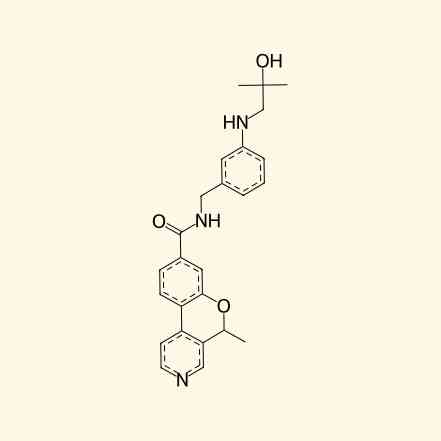 CC1Oc2cc(C(=O)NCc3cccc(NCC(C)(C)O)c3)ccc2-c2ccncc21